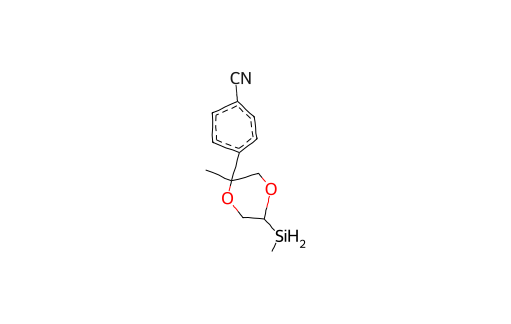 C[SiH2]C1COC(C)(c2ccc(C#N)cc2)CO1